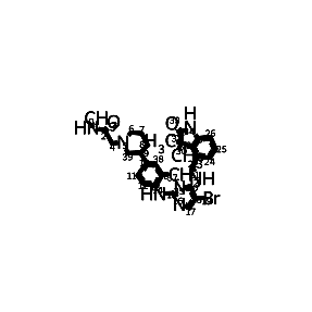 CNC(=O)CN1CCCC(c2ccc(Nc3ncc(Br)c(NCc4cccc5c4C(C)(C)C(=O)N5)n3)c(C)c2)C1